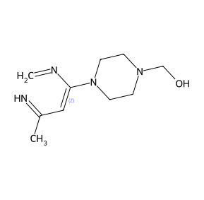 C=N/C(=C\C(C)=N)N1CCN(CO)CC1